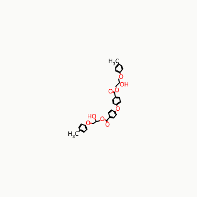 Cc1ccc(OCC(O)COC(=O)c2ccc(Oc3ccc(C(=O)OCC(O)COc4ccc(C)cc4)cc3)cc2)cc1